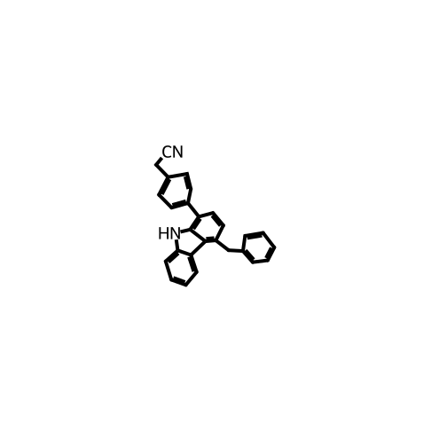 N#CCc1ccc(-c2ccc(Cc3ccccc3)c3c2[nH]c2ccccc23)cc1